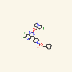 C[C@@H]1CC(c2nc(OC[C@@]34CCCN3C[C@H](F)C4)nc3c(F)c(Cl)ncc23)CCN1C(=O)OCc1ccccc1